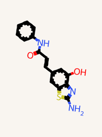 Nc1nc2c(O)cc(/C=C/C(=O)Nc3ccccc3)cc2s1